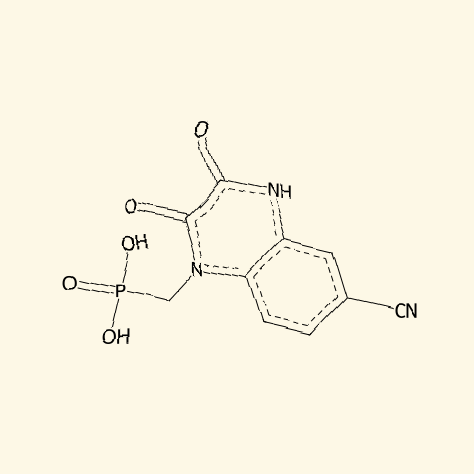 N#Cc1ccc2c(c1)[nH]c(=O)c(=O)n2CP(=O)(O)O